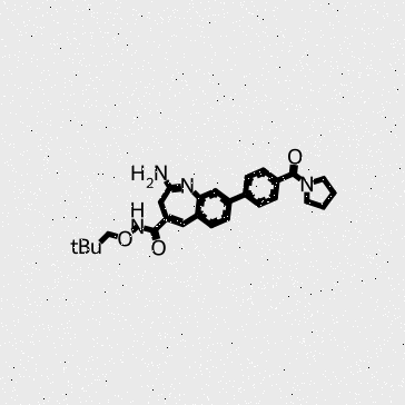 CC(C)(C)CONC(=O)C1=Cc2ccc(-c3ccc(C(=O)N4CCCC4)cc3)cc2N=C(N)C1